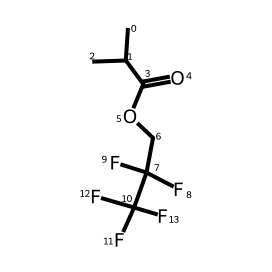 CC(C)C(=O)OCC(F)(F)C(F)(F)F